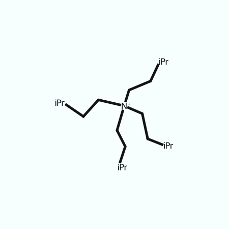 CC(C)CC[N+](CCC(C)C)(CCC(C)C)CCC(C)C